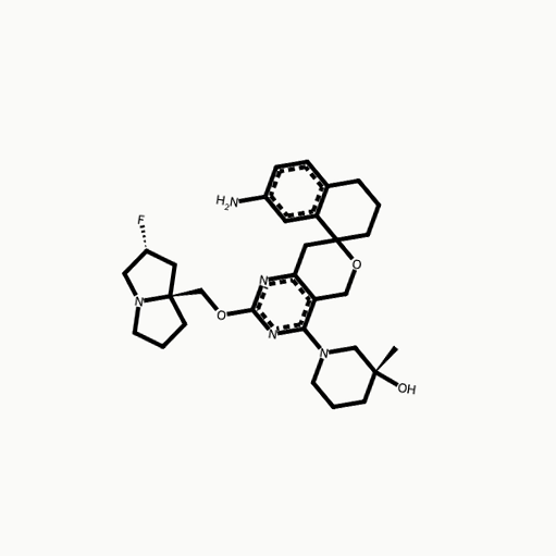 C[C@@]1(O)CCCN(c2nc(OC[C@@]34CCCN3C[C@H](F)C4)nc3c2COC2(CCCc4ccc(N)cc42)C3)C1